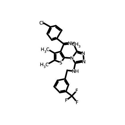 Cc1sc(-n2c(C)nnc2NCc2cccc(C(F)(F)F)c2)c(C(=N)c2ccc(Cl)cc2)c1C